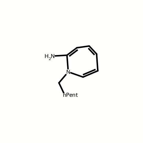 CCCCCCN1C=CC=CC=C1N